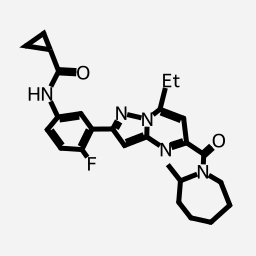 CCc1cc(C(=O)N2CCCCCC2C)nc2cc(-c3cc(NC(=O)C4CC4)ccc3F)nn12